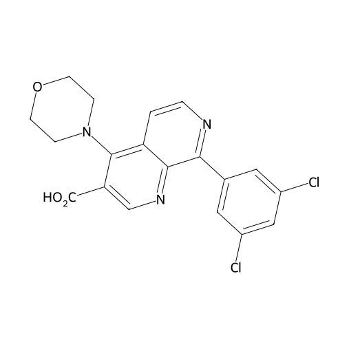 O=C(O)c1cnc2c(-c3cc(Cl)cc(Cl)c3)nccc2c1N1CCOCC1